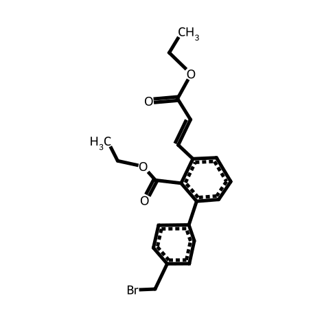 CCOC(=O)C=Cc1cccc(-c2ccc(CBr)cc2)c1C(=O)OCC